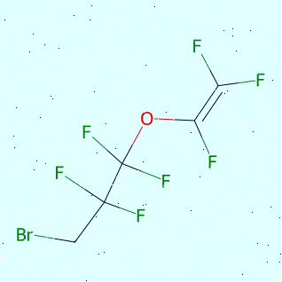 FC(F)=C(F)OC(F)(F)C(F)(F)CBr